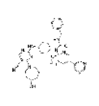 COC1(N(C(=O)NCc2ccccc2)[C@H]2CC[C@H](Nc3ncc(C#N)c(N4CCCC(O)CC4)n3)CC2)N=CC(c2cncnc2)=CN1